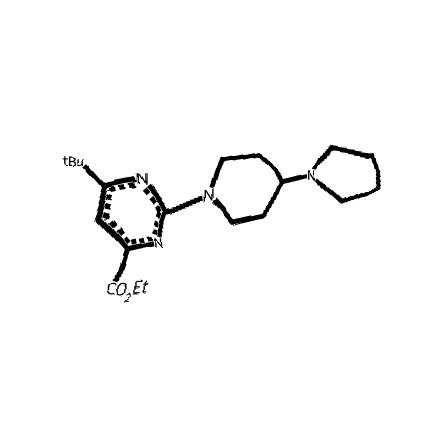 CCOC(=O)c1cc(C(C)(C)C)nc(N2CCC(N3CCCC3)CC2)n1